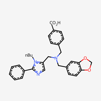 CCCCn1c(CN(Cc2ccc(C(=O)O)cc2)Cc2ccc3c(c2)OCO3)cnc1-c1ccccc1